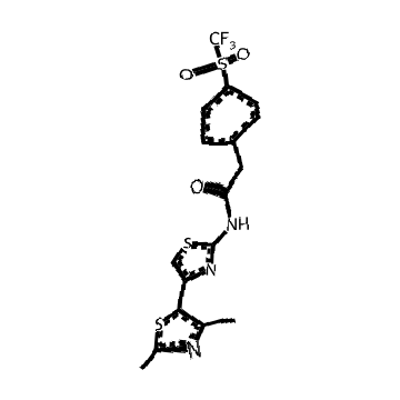 Cc1nc(C)c(-c2csc(NC(=O)Cc3ccc(S(=O)(=O)C(F)(F)F)cc3)n2)s1